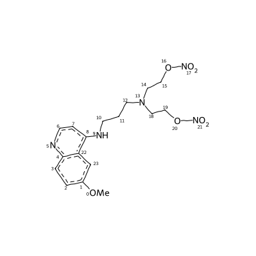 COc1ccc2nccc(NCCCN(CCO[N+](=O)[O-])CCO[N+](=O)[O-])c2c1